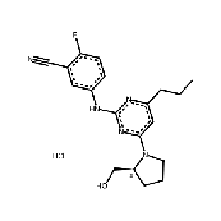 CCCc1cc(N2CCC[C@H]2CO)nc(Nc2ccc(F)c(C#N)c2)n1.Cl